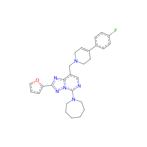 Fc1ccc(C2=CCN(Cc3cnc(N4CCCCCC4)n4nc(-c5ccco5)nc34)CC2)cc1